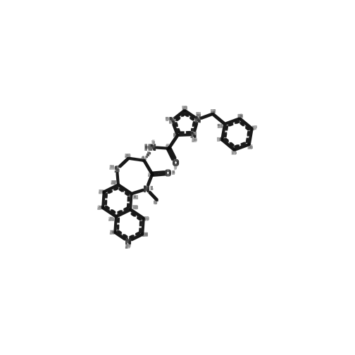 CN1C(=O)[C@@H](NC(=O)c2ncn(Cc3ccccc3)n2)CSc2ccc3cnccc3c21